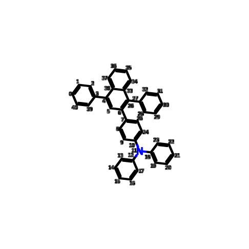 c1ccc(-c2cc(-c3ccc(N(c4ccccc4)c4ccccc4)cc3)c(-c3ccccc3)c3ccccc23)cc1